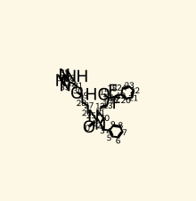 O=C1N(Cc2ccccc2)C[C@H](C=CC(O)C(F)(F)c2ccccc2)N1CCCCOCc1nnn[nH]1